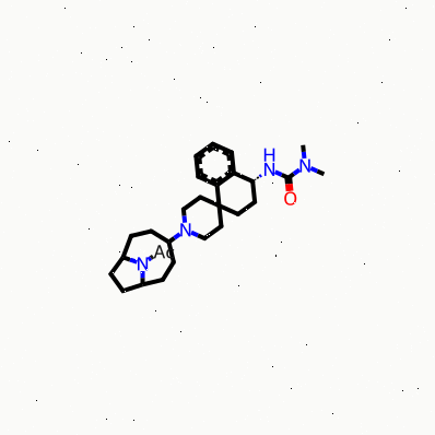 CC(=O)N1C2CCC(N3CCC4(CC[C@@H](NC(=O)N(C)C)c5ccccc54)CC3)CCC1CC2